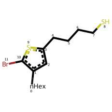 CCCCCCc1cc(CCCCS)sc1Br